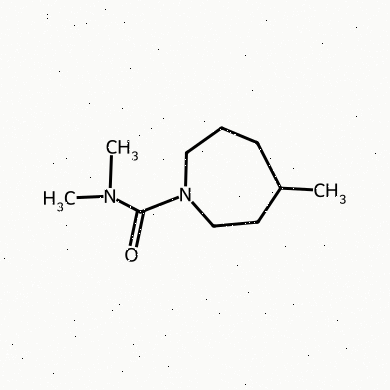 CC1CCCN(C(=O)N(C)C)CC1